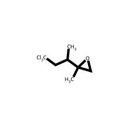 CC(CC(Cl)(Cl)Cl)C1(C)CO1